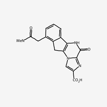 CNC(=O)Cc1cccc2c1Cc1c-2[nH]c(=O)c2nc(C(=O)O)cn12